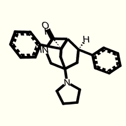 O=C1NCC2(N3CCCC3)C[C@H](c3ccccc3)C1[C@H](c1ccccc1)C2